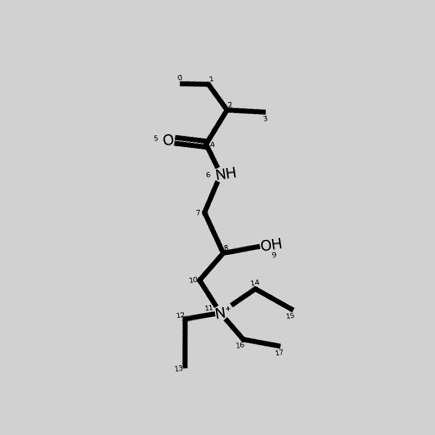 CCC(C)C(=O)NCC(O)C[N+](CC)(CC)CC